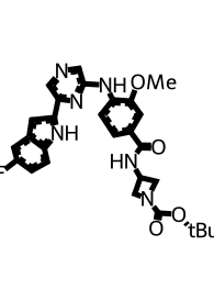 COc1cc(C(=O)NC2CN(C(=O)OC(C)(C)C)C2)ccc1Nc1cncc(-c2cc3cc(F)ccc3[nH]2)n1